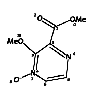 COC(=O)c1ncc[n+]([O-])c1OC